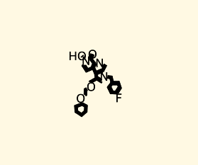 O=c1c2ncc3c(c(COCCOC4CCCCC4)cn3Cc3ccc(F)cc3)c2ccn1O